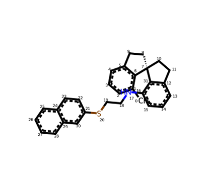 Cc1cccc2c1[C@@]1(CC2)CCc2cccc(NCCSc3ccc4ccccc4c3)c21